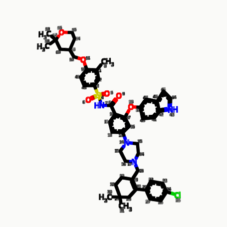 Cc1cc(S(=O)(=O)NC(=O)c2ccc(N3CCN(CC4=C(c5ccc(Cl)cc5)CC(C)(C)CC4)CC3)cc2Oc2ccc3[nH]ccc3c2)ccc1OCC1CCOC(C)(C)C1